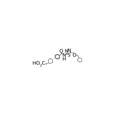 O=C(O)C[C@H]1CC[C@H](c2ccc(C(=O)Nc3nnc(COCC4CCCC4)s3)cc2)CC1